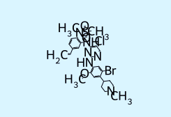 C=Cc1ccc(N(C)S(C)(=O)=O)c(Nc2nc(Nc3cc(Br)c(C4CCN(C)CC4)cc3OC)ncc2Cl)c1